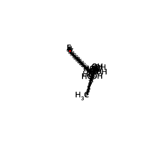 CCCCCCCCCCCCCC[C@@H](O)[C@@H](O)[C@H](CO[C@H]1O[C@H](CO)[C@H](O)[C@H](O)[C@H]1O)NC(=O)CCCCCCCCCCCCCCCCCCCCCC12CC(F)(C1)C2